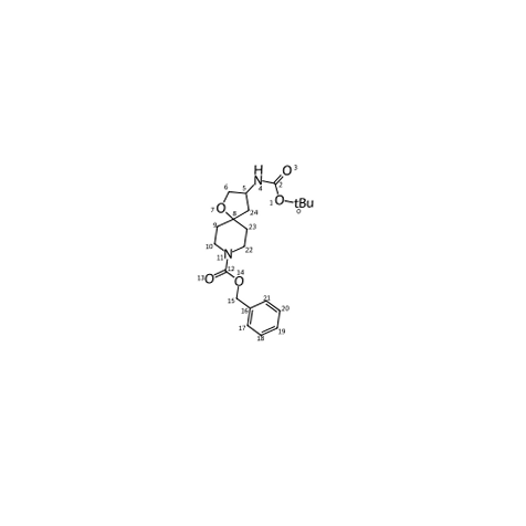 CC(C)(C)OC(=O)NC1COC2(CCN(C(=O)OCc3ccccc3)CC2)C1